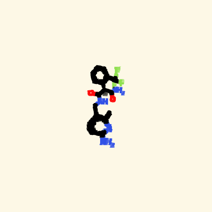 Cc1nc(N)ccc1CNC(=O)[C@H](C(N)=O)c1ccccc1C(F)(F)F